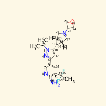 CC(C)n1nc(-c2cnc(N)c(C(C)(F)F)c2)cc1[C@@H]1[C@@H]2CN(C3COC3)C[C@@H]21